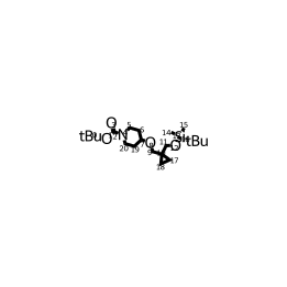 CC(C)(C)OC(=O)N1CCC(OCC2(CO[Si](C)(C)C(C)(C)C)CC2)CC1